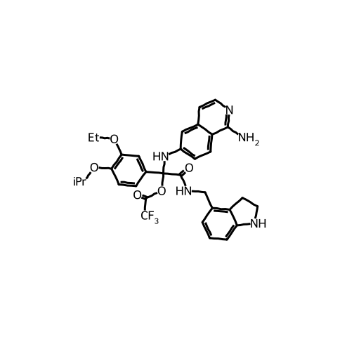 CCOc1cc(C(Nc2ccc3c(N)nccc3c2)(OC(=O)C(F)(F)F)C(=O)NCc2cccc3c2CCN3)ccc1OC(C)C